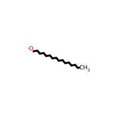 CCCCCCCCCCCCCCCC[O]